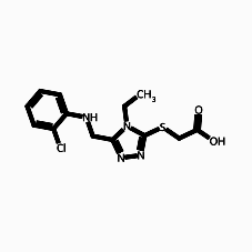 CCn1c(CNc2ccccc2Cl)nnc1SCC(=O)O